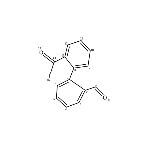 O=Cc1ccccc1-c1ccccc1C(=O)I